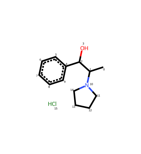 CC(C(O)c1ccccc1)N1CCCC1.Cl